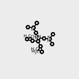 CC1(C)c2ccccc2-c2ccc(-c3cc(-c4ccc5c(c4)C(C)(C)c4ccccc4-5)c4nc(-c5ccc(-c6cc(-c7ccccc7)cc(-c7ccccc7)n6)cc5)nc(-c5ccc(-c6nc(-c7ccccc7)cc(-c7ccccc7)n6)cc5)c4c3)cc21